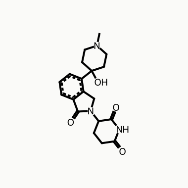 CN1CCC(O)(c2cccc3c2CN(C2CCC(=O)NC2=O)C3=O)CC1